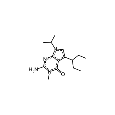 CCC(CC)c1cn(C(C)C)c2nc(N)n(C)c(=O)c12